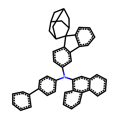 c1ccc(-c2ccc(N(c3ccc4c(c3)-c3ccccc3C43C4CC5CC(C4)CC3C5)c3cc4ccccc4c4ccccc34)cc2)cc1